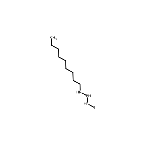 CCCCCCCCCNBPI